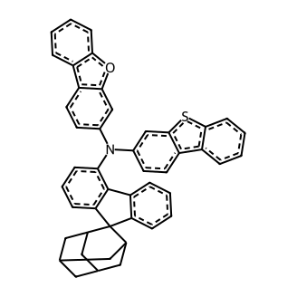 c1ccc2c(c1)-c1c(N(c3ccc4c(c3)oc3ccccc34)c3ccc4c(c3)sc3ccccc34)cccc1C21C2CC3CC(C2)CC1C3